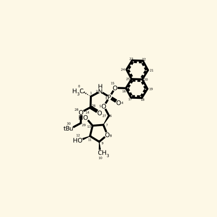 C[C@H](NP(=O)(OC[C@H]1O[C@@H](C)[C@@H](O)C1O)Oc1cccc2ccccc12)C(=O)OCC(C)(C)C